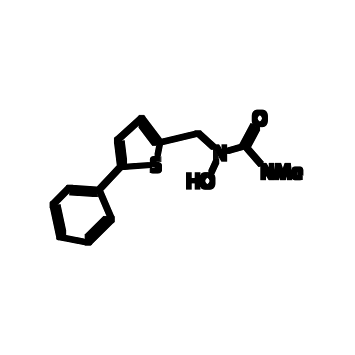 CNC(=O)N(O)Cc1ccc(-c2ccccc2)s1